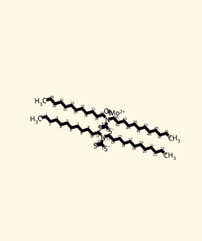 CCCCCCCCCCCCN(CCCCCCCCCCCC)C(=S)[S-].CCCCCCCCCCCCN(CCCCCCCCCCCC)C(=S)[S-].[O]=[Mo+2]